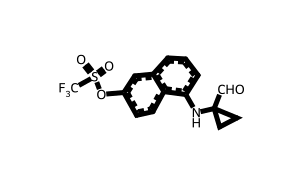 O=CC1(Nc2cccc3cc(OS(=O)(=O)C(F)(F)F)ccc23)CC1